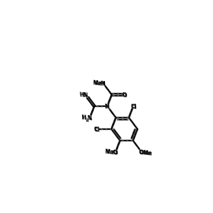 CNC(=O)N(C(=N)N)c1c(Cl)cc(OC)c(OC)c1Cl